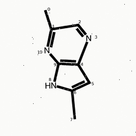 Cc1cnc2cc(C)[nH]c2n1